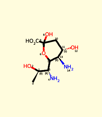 C[C@@H](O)[C@@H](N)C1OC(O)(C(=O)O)C[C@H](O)[C@H]1N